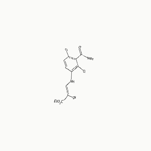 CCOC(=O)C(C#N)=CNc1ccc(Cl)c(C(=O)NC)c1Cl